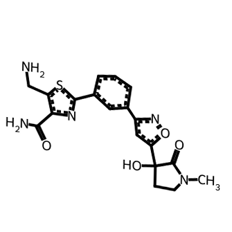 CN1CCC(O)(c2cc(-c3cccc(-c4nc(C(N)=O)c(CN)s4)c3)no2)C1=O